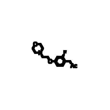 CC(=O)Cc1ccc(OCCN2CCOCC2)cc1F